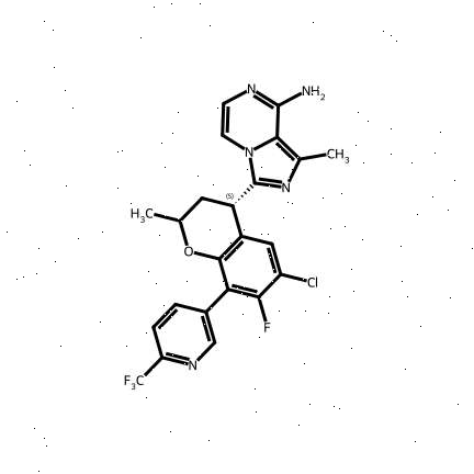 Cc1nc([C@H]2CC(C)Oc3c2cc(Cl)c(F)c3-c2ccc(C(F)(F)F)nc2)n2ccnc(N)c12